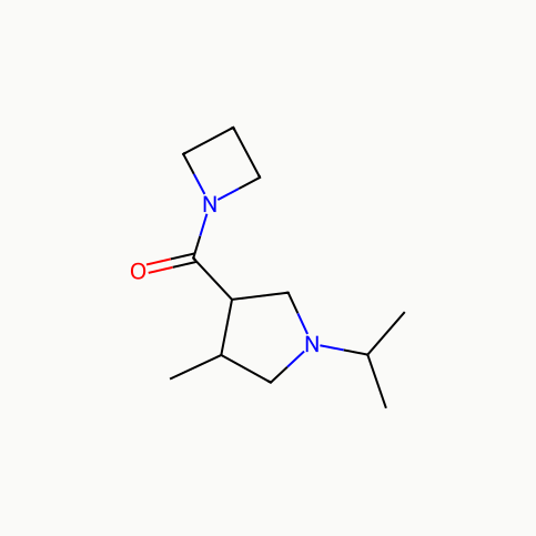 CC1CN(C(C)C)CC1C(=O)N1CCC1